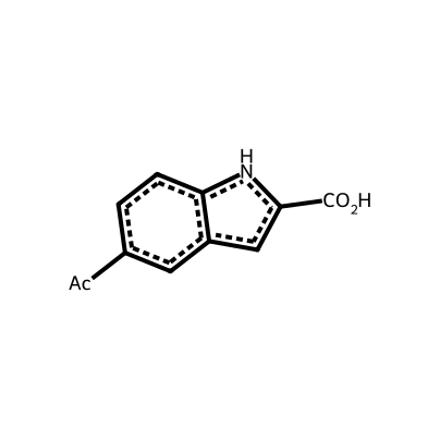 CC(=O)c1ccc2[nH]c(C(=O)O)cc2c1